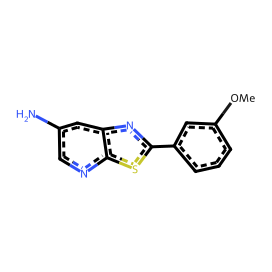 COc1cccc(-c2nc3cc(N)cnc3s2)c1